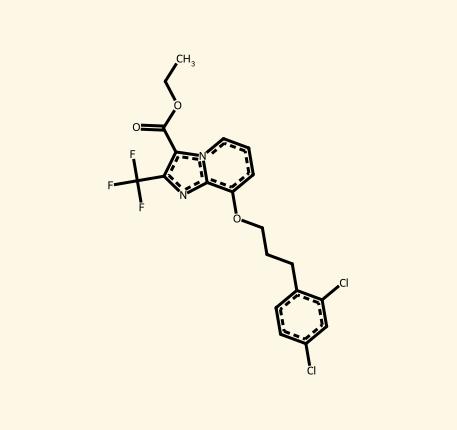 CCOC(=O)c1c(C(F)(F)F)nc2c(OCCCc3ccc(Cl)cc3Cl)cccn12